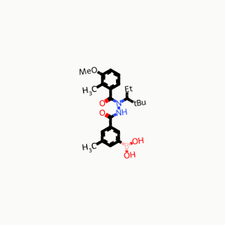 CCC(N(NC(=O)c1cc(C)cc(B(O)O)c1)C(=O)c1cccc(OC)c1C)C(C)(C)C